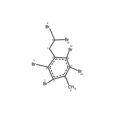 Cc1c(Br)c(Br)c(CC(Br)Br)c(Br)c1Br